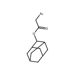 CC(=O)CC(=O)OC1C2CC3CC(C2)CC1C3